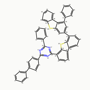 c1ccc(-c2ccc(-c3nc(-c4ccccc4)nc(-c4cccc5c4sc4c(-c6cc(-c7ccccc7)c7c(c6)sc6ccccc67)cccc45)n3)cc2)cc1